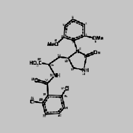 COc1cccc(OC)c1N1C(=O)NCC1CC(NC(=O)c1c(Cl)cccc1Cl)C(=O)O